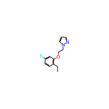 CCc1ccc(F)cc1OCCn1cccn1